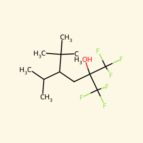 CC(C)C(CC(O)(C(F)(F)F)C(F)(F)F)C(C)(C)C